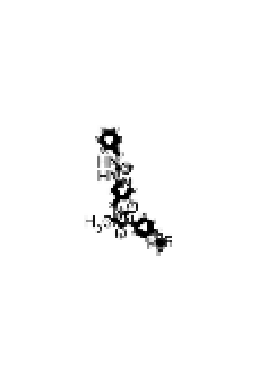 CC1C(=O)N(c2ccc(SC(F)(F)F)cc2)C(=O)N1Cc1ccnc(NC(=O)NCc2ccccc2)c1